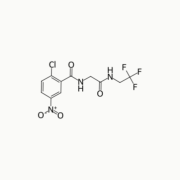 O=C(CNC(=O)c1cc([N+](=O)[O-])ccc1Cl)NCC(F)(F)F